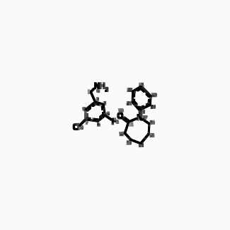 NCc1cc(F)cc(Cl)c1.O=C1CCCCCN1c1ccccc1